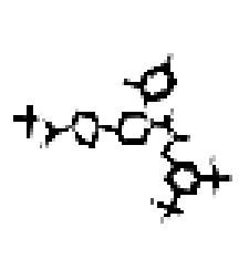 Cc1cc(F)ccc1[C@H]1CC(N2CCN(C(=O)OC(C)(C)C)CC2)CCN1C(=O)N(C)Cc1cc(C(F)(F)F)cc(C(F)(F)F)c1